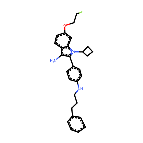 Nc1c(-c2ccc(NCCCc3ccccc3)cc2)n(C2CCC2)c2cc(OCCF)ccc12